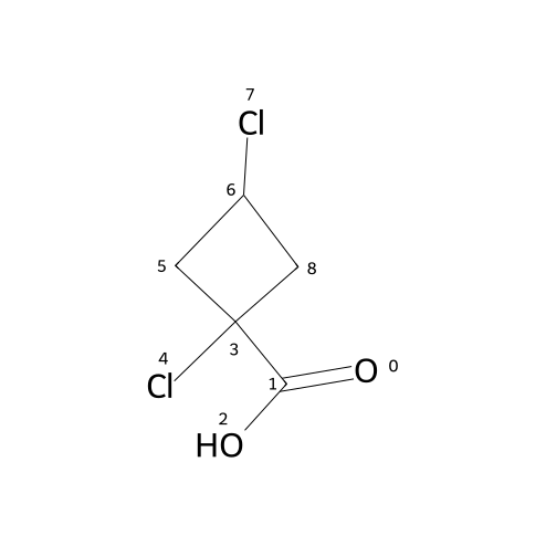 O=C(O)C1(Cl)CC(Cl)C1